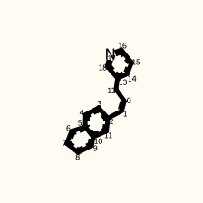 C(=C/c1ccc2ccccc2c1)/Cc1cccnc1